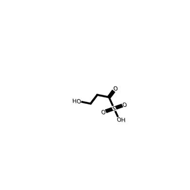 O=C(CCO)S(=O)(=O)O